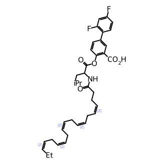 CC/C=C\C/C=C\C/C=C\C/C=C\C/C=C\CCC(=O)NC(CC(C)C)C(=O)Oc1ccc(-c2ccc(F)cc2F)cc1C(=O)O